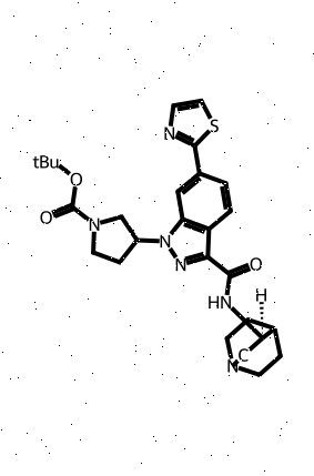 CC(C)(C)OC(=O)N1CCC(n2nc(C(=O)N[C@@H]3CN4CCC3CC4)c3ccc(-c4nccs4)cc32)C1